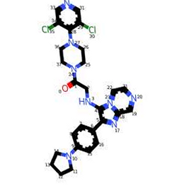 O=C(CNc1c(-c2ccc(N3CCCC3)cc2)nc2cnccn12)N1CCN(c2c(Cl)cncc2Cl)CC1